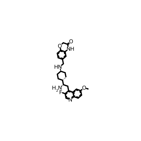 COc1ccc2ncc(F)c(C[C@H](N)[C@H]3CC[C@H](NCc4ccc5c(c4)NC(=O)CO5)CC3)c2c1